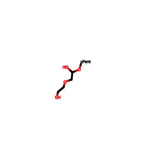 CCCCCOC(O)COCCO